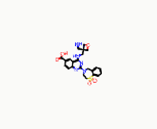 NCC1(CNc2nc(N3CCS(=O)(=O)c4ccccc4C3)nc3ccc(C(=O)O)cc23)COC1